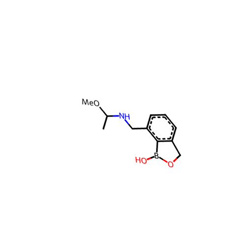 COC(C)NCc1cccc2c1B(O)OC2